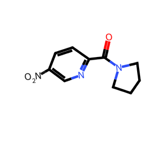 O=C(c1ccc([N+](=O)[O-])cn1)N1CCCC1